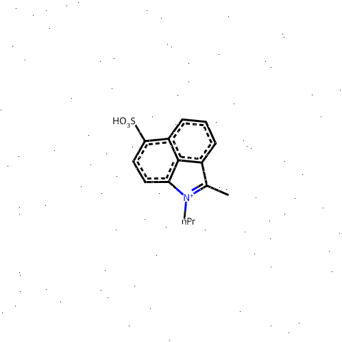 CCC[N+]1=C(C)c2cccc3c(S(=O)(=O)O)ccc1c23